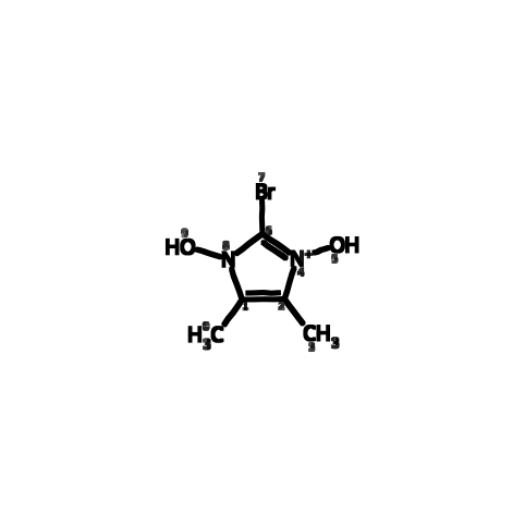 Cc1c(C)[n+](O)c(Br)n1O